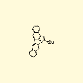 CC(C)(C)c1cc2c3ccccc3cc3c4cc5ccccc5cc4n1c23